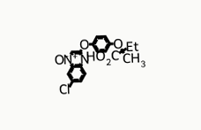 CCC(C)(Oc1ccc(Oc2c[n+]([O-])c3cc(Cl)ccc3n2)cc1)C(=O)O